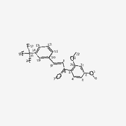 COc1ccc(C(=O)C=Cc2cccc(C(F)(F)F)c2)c(OC)c1